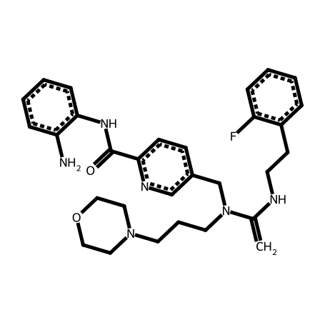 C=C(NCCc1ccccc1F)N(CCCN1CCOCC1)Cc1ccc(C(=O)Nc2ccccc2N)nc1